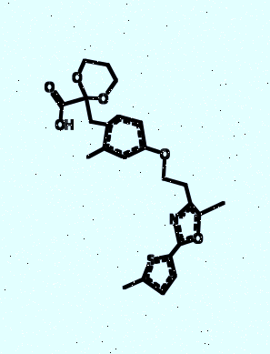 Cc1ccc(-c2nc(CCOc3ccc(CC4(C(=O)O)OCCCO4)c(C)c3)c(C)o2)s1